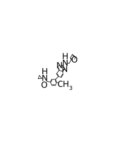 Cc1ccc(C(=O)NC2CC2)cc1-c1ccc2nc(NCc3ccco3)ncc2c1